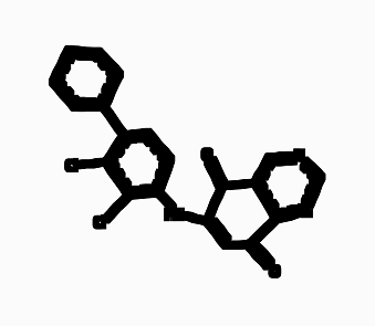 O=C1C(Nc2ccc(-c3ccccc3)c(Cl)c2Cl)=CC(=O)c2ncncc21